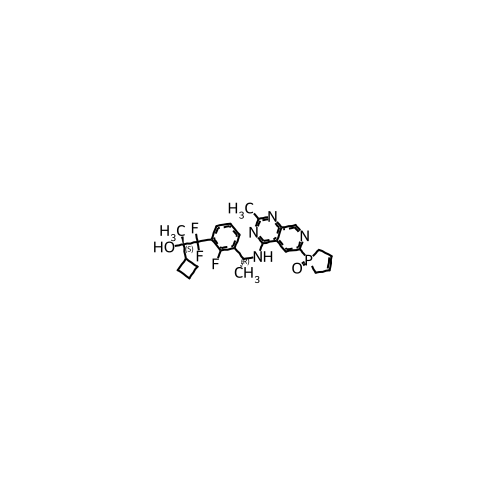 Cc1nc(N[C@H](C)c2cccc(C(F)(F)[C@@](C)(O)C3CCC3)c2F)c2cc(P3(=O)CC=CC3)ncc2n1